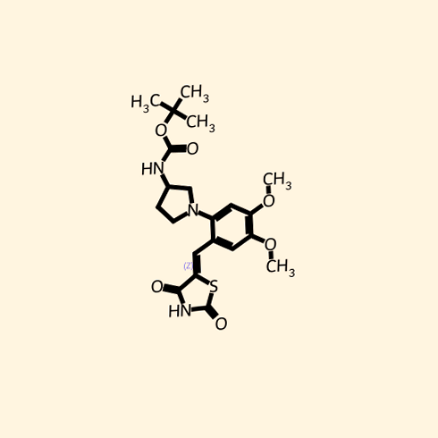 COc1cc(/C=C2\SC(=O)NC2=O)c(N2CCC(NC(=O)OC(C)(C)C)C2)cc1OC